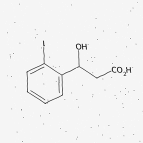 O=C(O)CC(O)c1ccccc1I